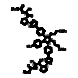 CNC(=O)O[C@H](C(=O)N1CCC[C@H]1c1ncc(-c2ccc([C@H]3[C@@H](OCCOC)[C@H](OCCOC)[C@H](c4ccc(-c5cnc([C@@H]6CCCN6C(=O)[C@@H](NC(=O)OC)C(C)C)[nH]5)cc4)N3c3ccc(C(C)(C)C)cc3)cc2)[nH]1)C(C)C